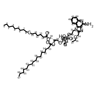 CCCCCCCCCCCCCCCC(=O)OC[C@H](COP(=O)(O)OP(=O)(O)OCCn1c(COCC)nc2c(N)nc3ccccc3c21)OC(=O)CCCCCCCCCCCCCCC